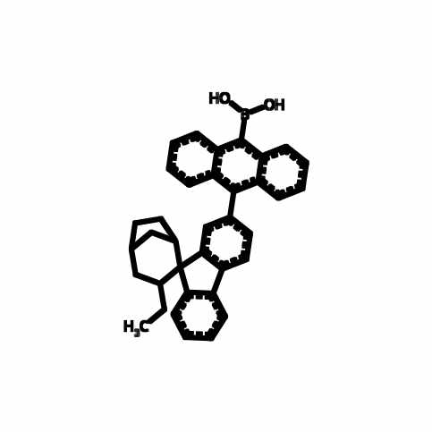 CCC1CC2CCC(C2)C12c1ccccc1-c1ccc(-c3c4ccccc4c(B(O)O)c4ccccc34)cc12